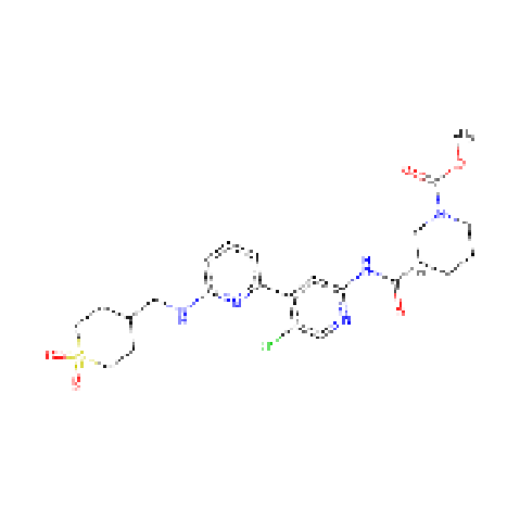 COC(=O)N1CCC[C@H](C(=O)Nc2cc(-c3cccc(NCC4CCS(=O)(=O)CC4)n3)c(Cl)cn2)C1